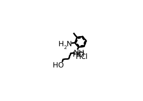 Cc1cccc(NCCCO)c1N.Cl.Cl